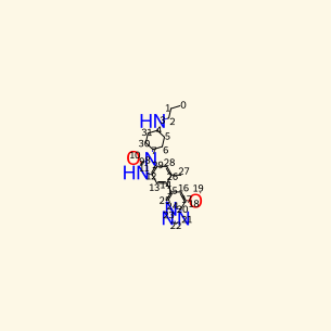 CCCNC1CCC(n2c(=O)[nH]c3cc(-c4cc(OC)c5ncnn5c4)c(C)cc32)CC1